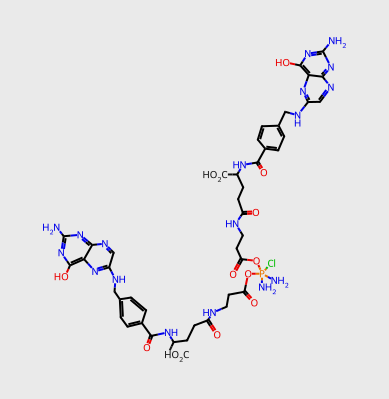 Nc1nc(O)c2nc(NCc3ccc(C(=O)NC(CCC(=O)NCCC(=O)OP(N)(N)(Cl)OC(=O)CCNC(=O)CCC(NC(=O)c4ccc(CNc5cnc6nc(N)nc(O)c6n5)cc4)C(=O)O)C(=O)O)cc3)cnc2n1